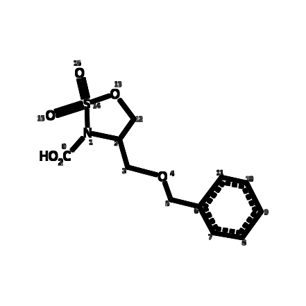 O=C(O)N1C(COCc2ccccc2)COS1(=O)=O